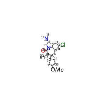 COc1ccc([C@H]2Cc3cc(Cl)ccc3N(CCN(C)C)C(=O)[C@H]2C(C)C)cc1